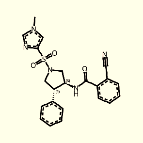 Cn1cnc(S(=O)(=O)N2C[C@@H](NC(=O)c3ccccc3C#N)[C@H](c3ccccc3)C2)c1